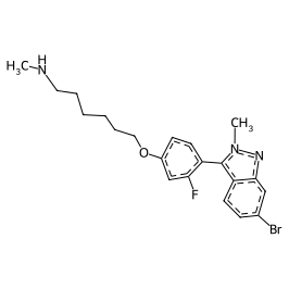 CNCCCCCCOc1ccc(-c2c3ccc(Br)cc3nn2C)c(F)c1